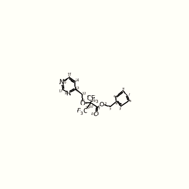 O=C(OCc1ccccc1)C(OCc1ccncn1)(C(F)(F)F)C(F)(F)F